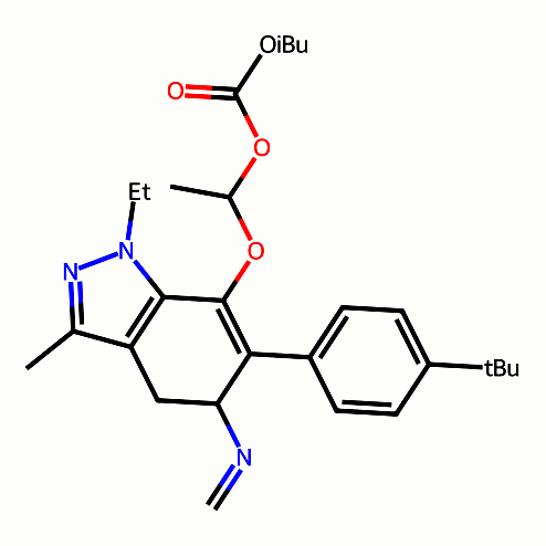 C=NC1Cc2c(C)nn(CC)c2C(OC(C)OC(=O)OCC(C)C)=C1c1ccc(C(C)(C)C)cc1